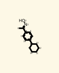 C/C(=N\O)c1ccc(C2CCCCC2)cc1